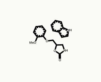 COc1ccccc1OCC1CNC(=O)O1.c1ccc2[nH]ccc2c1